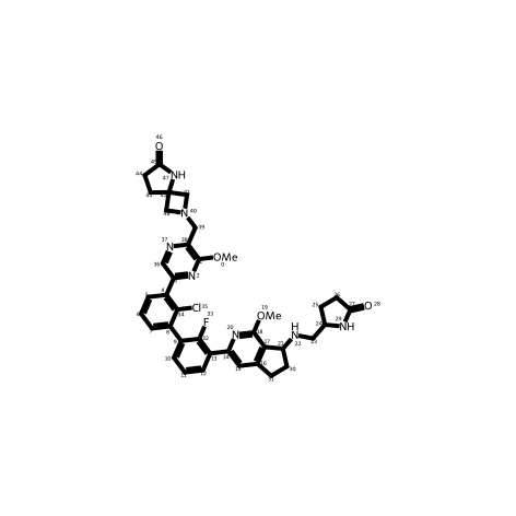 COc1nc(-c2cccc(-c3cccc(-c4cc5c(c(OC)n4)C(NCC4CCC(=O)N4)CC5)c3F)c2Cl)cnc1CN1CC2(CCC(=O)N2)C1